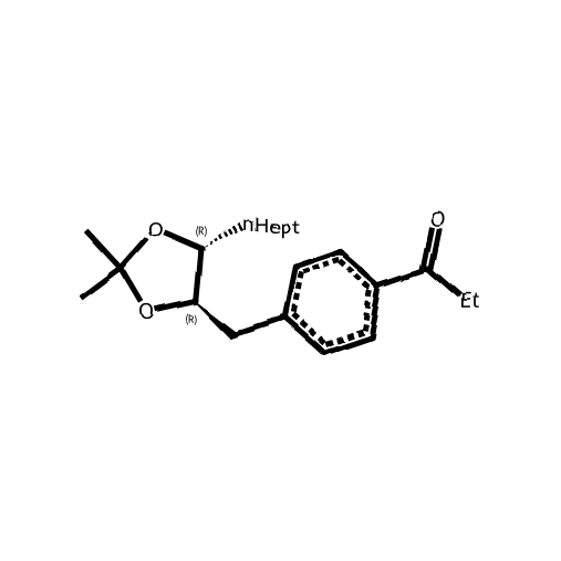 CCCCCCC[C@H]1OC(C)(C)O[C@@H]1Cc1ccc(C(=O)CC)cc1